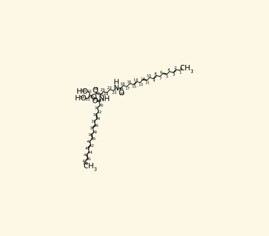 CCC=CCC=CCC=CCC=CCC=CCCCC(=O)NCCCCC(NC(=O)CCCC=CCC=CCC=CCC=CCC=CCC)C(=O)OC(CO)CO